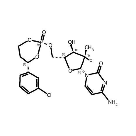 C[C@]1(F)[C@H](O)[C@@H](CO[P@@]2(=O)OCC[C@@H](c3cccc(Cl)c3)O2)O[C@H]1n1ccc(N)nc1=O